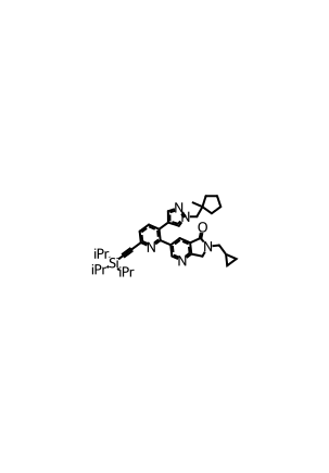 CC(C)[Si](C#Cc1ccc(-c2cnn(CC3(C)CCCC3)c2)c(-c2cnc3c(c2)C(=O)N(CC2CC2)C3)n1)(C(C)C)C(C)C